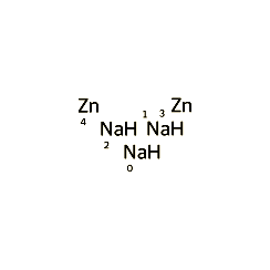 [NaH].[NaH].[NaH].[Zn].[Zn]